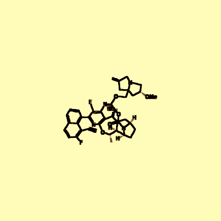 C#Cc1c(F)ccc2cccc(-c3nc4c5c(nc(OCC67CC(=C)CN6C[C@H](OC)C7)nc5c3F)N3C[C@H]5CC[C@@H]([C@H]3[C@H](C)O4)N5C(=O)OC(C)(C)C)c12